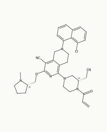 C=CC(=O)N1CCN(c2nc(OC[C@@H]3CCCN3C)c(C#N)c3c2CCN(c2cccc4cccc(Cl)c24)C3)C[C@@H]1CC#N